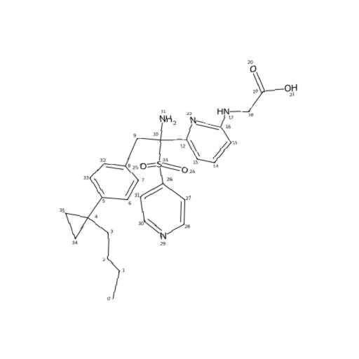 CCCCC1(c2ccc(CC(N)(c3cccc(NCC(=O)O)n3)S(=O)(=O)c3ccncc3)cc2)CC1